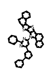 c1ccc(-c2cccc(-c3cc(-n4c5c6ccccc6ccc5c5sc6c(sc7ccc8ccccc8c76)c54)nc(-c4ccccc4)n3)c2)cc1